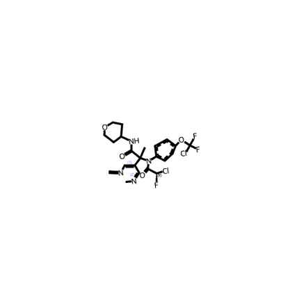 C=N/C=C(\C=N/C)C(C)(C(=O)NC1CCOCC1)N(C(=O)[C@H](F)Cl)c1ccc(OC(F)(F)Cl)cc1